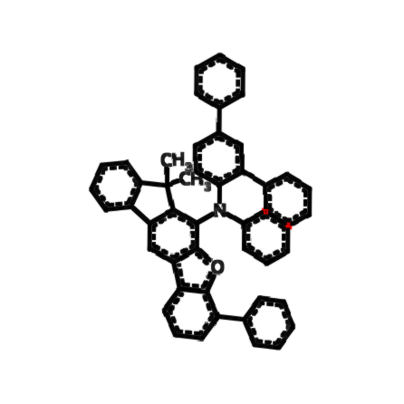 CC1(C)c2ccccc2-c2cc3c(oc4c(-c5ccccc5)cccc43)c(N(c3ccccc3)c3ccc(-c4ccccc4)cc3-c3ccccc3)c21